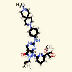 C=CCn1c(=O)c2cnc(Nc3ccc(N4CCC5(CCN(C)CC5)CC4)cc3)nc2n1-c1cccc(C2(OC)COC2)n1